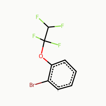 FC(F)C(F)(F)Oc1ccc[c]c1Br